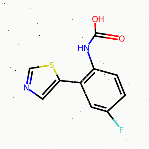 O=C(O)Nc1ccc(F)cc1-c1cncs1